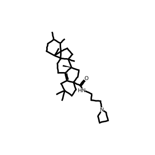 CC1CCC2(C)C3(CCC4(C)C23CCC2=C3CC(C)(C)CCC3(C(=O)NCCCN3CCCC3)CC[C@]24C)C1C